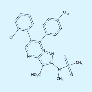 CN(c1nn2c(-c3ccc(C(F)(F)F)cc3)c(-c3ccccc3Cl)cnc2c1C(=O)O)S(C)(=O)=O